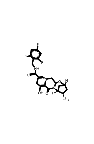 C[C@@H]1C[C@@H]2C[C@H]1N1C(=O)C3=C(O)CC(C(=O)NCc4c(F)cc(F)cc4F)=CN3CC1O2